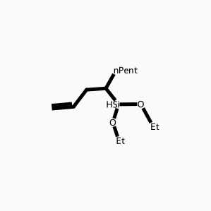 C=CCC(CCCCC)[SiH](OCC)OCC